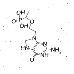 CC(OCCN1CNc2c1nc(N)[nH]c2=O)P(=O)(O)O